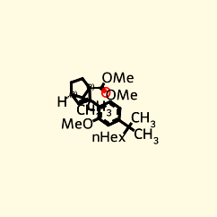 CCCCCCC(C)(C)c1cc(OC)c(C2=C[C@H]3CC[C@@]2(C(=O)OC)C3(C)C)c(OC)c1